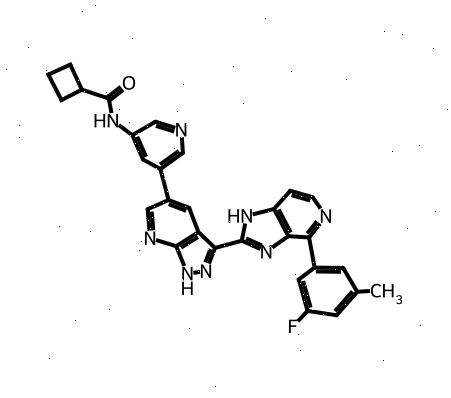 Cc1cc(F)cc(-c2nccc3[nH]c(-c4n[nH]c5ncc(-c6cncc(NC(=O)C7CCC7)c6)cc45)nc23)c1